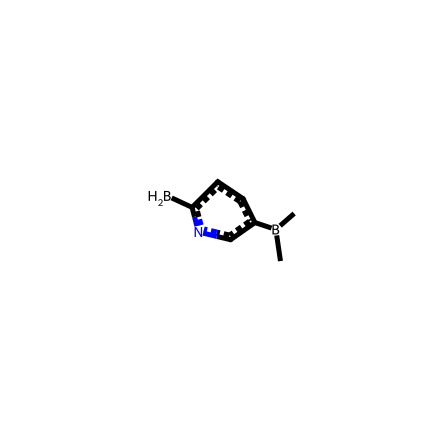 Bc1ccc(B(C)C)cn1